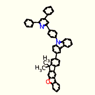 CC1(C)c2cc(-c3ccc4c(c3)c3ccccc3n4-c3ccc(-c4cc(-c5ccccc5)cc(-c5ccccc5)n4)cc3)ccc2-c2cc3c(cc21)oc1ccccc13